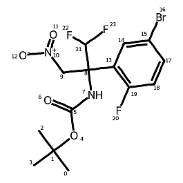 CC(C)(C)OC(=O)NC(C[N+](=O)[O-])(c1cc(Br)ccc1F)C(F)F